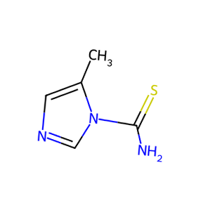 Cc1cncn1C(N)=S